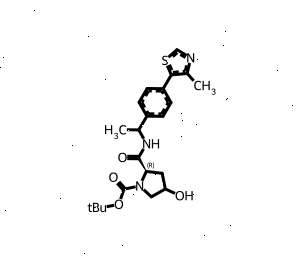 Cc1ncsc1-c1ccc(C(C)NC(=O)[C@H]2CC(O)CN2C(=O)OC(C)(C)C)cc1